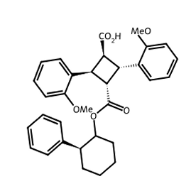 COc1ccccc1[C@H]1[C@H](C(=O)O)[C@H](c2ccccc2OC)[C@H]1C(=O)OC1CCCC[C@H]1c1ccccc1